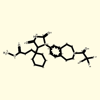 COC(=O)CCC1(C2C(=O)NC(=O)N2c2ccc3c(c2)CCN(C(=O)C(F)(F)F)CC3)CCCCC1